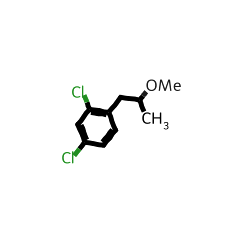 COC(C)Cc1ccc(Cl)cc1Cl